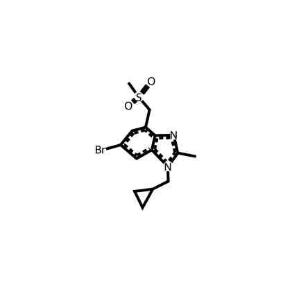 Cc1nc2c(CS(C)(=O)=O)cc(Br)cc2n1CC1CC1